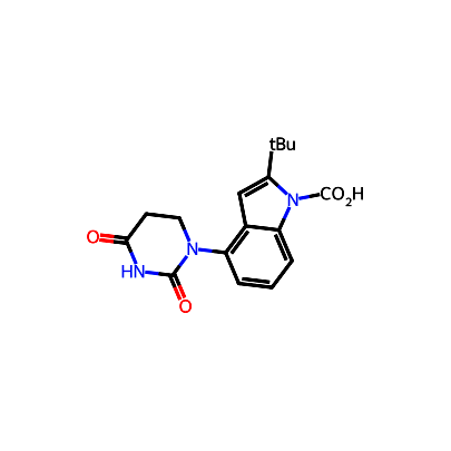 CC(C)(C)c1cc2c(N3CCC(=O)NC3=O)cccc2n1C(=O)O